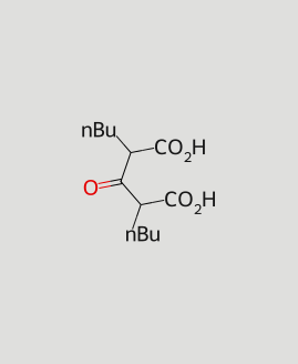 CCCCC(C(=O)O)C(=O)C(CCCC)C(=O)O